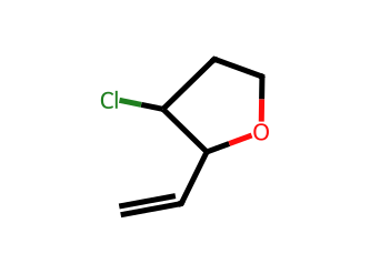 C=CC1OCCC1Cl